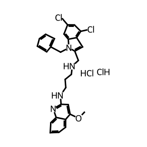 COc1cc(NCCCNCc2cc3c(Cl)cc(Cl)cc3n2Cc2ccccc2)nc2ccccc12.Cl.Cl